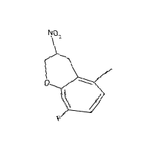 Cc1ccc(F)c2c1CC([N+](=O)[O-])CO2